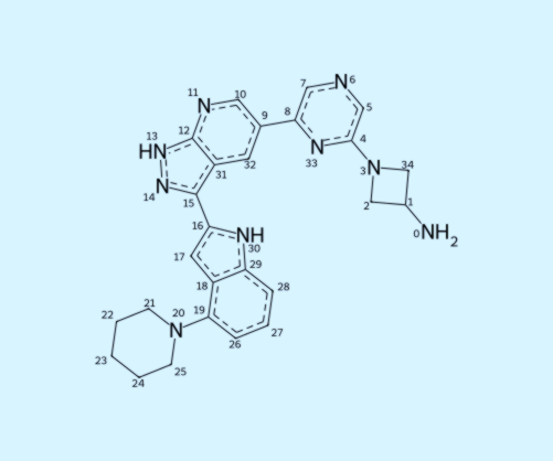 NC1CN(c2cncc(-c3cnc4[nH]nc(-c5cc6c(N7CCCCC7)cccc6[nH]5)c4c3)n2)C1